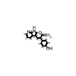 NC(=O)/C(=C\c1c[nH]c2ncccc12)c1ccc(O)cc1